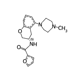 CN1CCN(c2cccc3c2C[C@H](NC(=O)c2ccco2)CO3)CC1